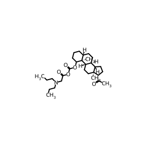 CCCN(CCC)CC(=O)OC(=O)OC1CCC[C@@H]2CC[C@H]3[C@@H]4CC[C@H](C(C)=O)[C@@]4(C)CC[C@@H]3[C@@]12C